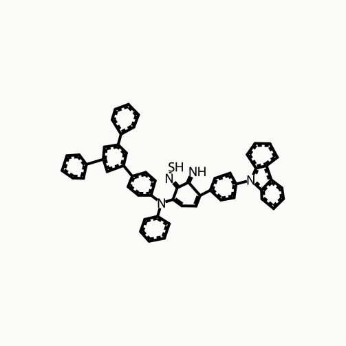 N=C1C(c2ccc(-n3c4ccccc4c4ccccc43)cc2)=CC=C(N(c2ccccc2)c2ccc(-c3cc(-c4ccccc4)cc(-c4ccccc4)c3)cc2)/C1=N/S